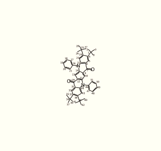 CC(C)(C)c1cc2c(=O)c3cc4c(cc3n(-c3ccccc3)c2cc1C(C)(C)C)c(=O)c1cc(C(C)(C)C)c(C(C)(C)C)cc1n4-c1ccccc1